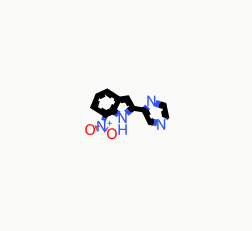 O=[N+]([O-])c1cccc2cc(-c3cnccn3)[nH]c12